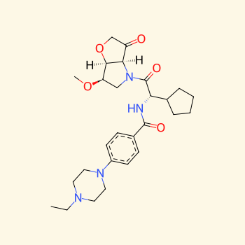 CCN1CCN(c2ccc(C(=O)N[C@H](C(=O)N3C[C@@H](OC)[C@H]4OCC(=O)[C@H]43)C3CCCC3)cc2)CC1